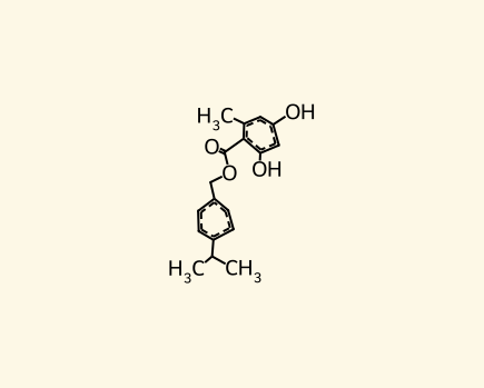 Cc1cc(O)cc(O)c1C(=O)OCc1ccc(C(C)C)cc1